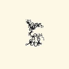 CC(=O)OCOC(C)=O.CC(=O)O[SiH3].CCCO[Si](C)(OCCC)OCCC